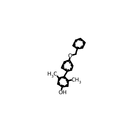 Cc1cc(O)cc(C)c1-c1ccc(OCc2ccccc2)cc1